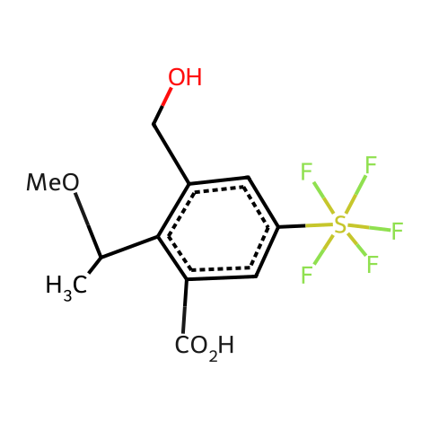 COC(C)c1c(CO)cc(S(F)(F)(F)(F)F)cc1C(=O)O